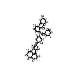 c1ccc(N(c2ccc(C3=NC4c5cccc6cccc(c56)C4S3)cc2)c2cccc3c2sc2ccccc23)cc1